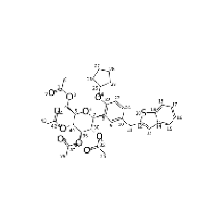 CC(=O)OC[C@H]1O[C@@H](c2cc(Cc3cc4ccccc4s3)ccc2OC2CCCC2)[C@H](OC(C)=O)[C@@H](OC(C)=O)[C@@H]1OC(C)=O